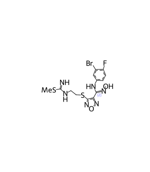 CSC(=N)NCCSc1nonc1/C(=N/O)Nc1ccc(F)c(Br)c1